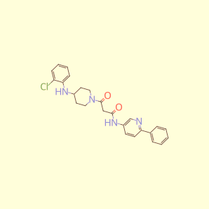 O=C(CC(=O)N1CCC(Nc2ccccc2Cl)CC1)Nc1ccc(-c2ccccc2)nc1